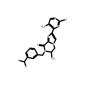 Cc1cnc(Cl)nc1-c1cn2c(n1)C(=O)N(Cc1cccc(C(F)F)c1)C(C)C2